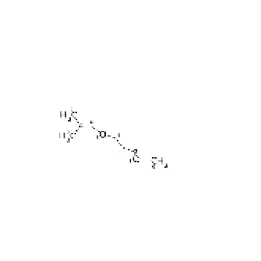 [CH2]OCCCOCC(C)C